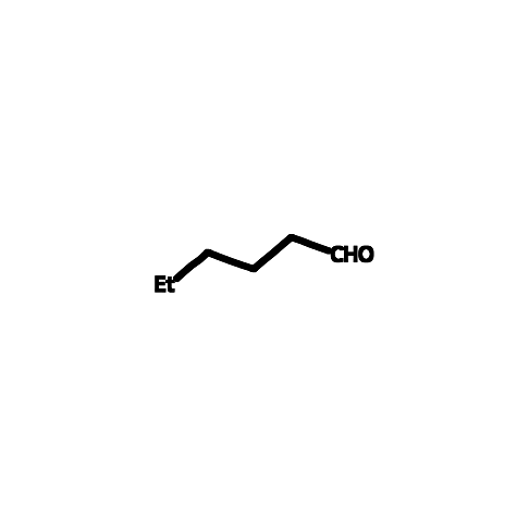 CCCCCC=[18O]